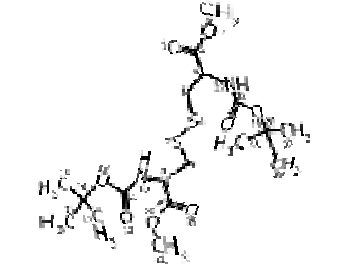 COC(=O)C(CSSC[C@H](NC(=O)OC(C)(C)C)C(=O)OC)NC(=O)OC(C)(C)C